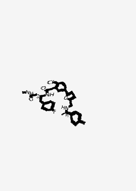 CNC(=O)C[C@@H](Cc1ccc(F)cc1)NC(=O)c1cc(-c2ccc(CN[C@H](C)c3ccc(C)cc3)o2)ccc1Cl